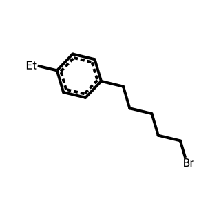 CCc1ccc(CCCCCBr)cc1